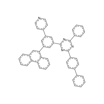 c1ccc(-c2ccc(-c3nc(-c4ccccc4)nc(-c4cc(-c5ccncc5)cc(-c5cc6ccccc6c6ccccc56)c4)n3)cc2)cc1